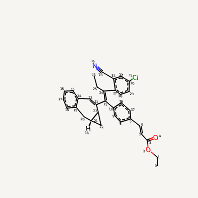 CCOC(=O)/C=C/c1ccc(/C(C2=Cc3ccccc3C[C@H]3CC23)=C(/CC)c2ccc(Cl)cc2C#N)cc1